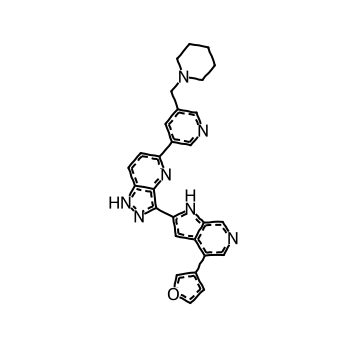 c1cc(-c2cncc3[nH]c(-c4n[nH]c5ccc(-c6cncc(CN7CCCCC7)c6)nc45)cc23)co1